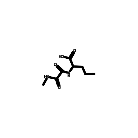 CCCC(NC(=O)C(=O)NC)C(=O)O